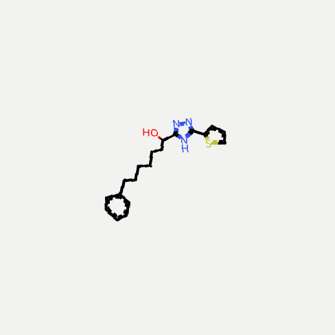 OC(CCCCCCc1ccccc1)c1nnc(-c2cccs2)[nH]1